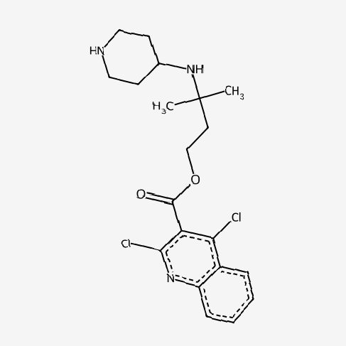 CC(C)(CCOC(=O)c1c(Cl)nc2ccccc2c1Cl)NC1CCNCC1